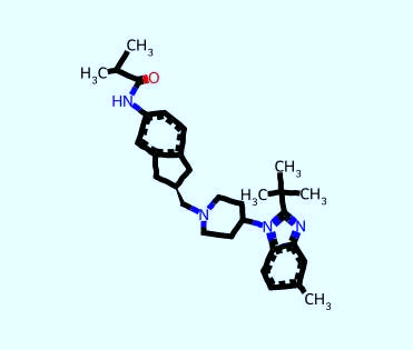 Cc1ccc2c(c1)nc(C(C)(C)C)n2C1CCN(C[C@@H]2Cc3ccc(NC(=O)C(C)C)cc3C2)CC1